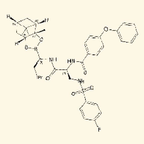 CC(C)C[C@H](NC(=O)[C@H](CNS(=O)(=O)c1ccc(F)cc1)NC(=O)c1ccc(Oc2ccccc2)cc1)B1O[C@@H]2C[C@@H]3C[C@@H](C3(C)C)[C@]2(C)O1